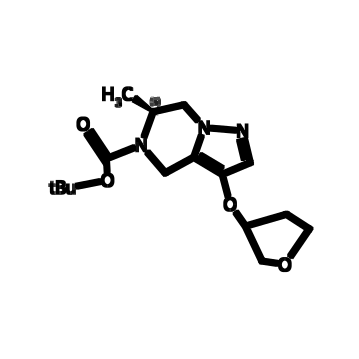 C[C@H]1Cn2ncc(OC3CCOC3)c2CN1C(=O)OC(C)(C)C